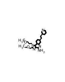 CCOCc1nc2c(N)nc3cc(/C=C/c4cccnc4)ccc3c2n1CCCOC